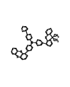 CC1(C)c2ccccc2Sc2c(-c3ccc(N(c4ccc(-c5ccccc5)cc4)c4ccc(-c5cccc6c5Sc5ccccc5S6)cc4)cc3)cccc21